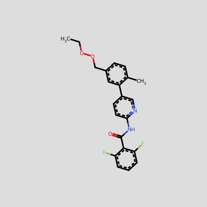 CCOOCc1ccc(C)c(-c2ccc(NC(=O)c3c(F)cccc3F)nc2)c1